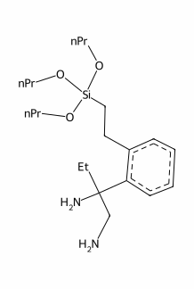 CCCO[Si](CCc1ccccc1C(N)(CC)CN)(OCCC)OCCC